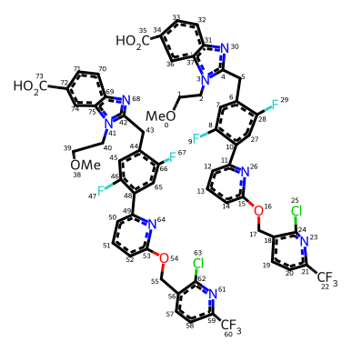 COCCn1c(Cc2cc(F)c(-c3cccc(OCc4ccc(C(F)(F)F)nc4Cl)n3)cc2F)nc2ccc(C(=O)O)cc21.COCCn1c(Cc2cc(F)c(-c3cccc(OCc4ccc(C(F)(F)F)nc4Cl)n3)cc2F)nc2ccc(C(=O)O)cc21